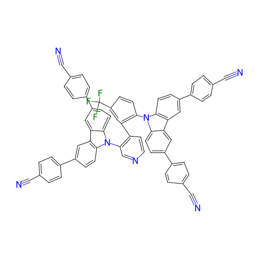 N#Cc1ccc(-c2ccc3c(c2)c2cc(-c4ccc(C#N)cc4)ccc2n3-c2ccc(C(F)(F)F)cc2-c2ccncc2-n2c3ccc(-c4ccc(C#N)cc4)cc3c3cc(-c4ccc(C#N)cc4)ccc32)cc1